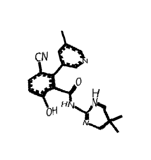 Cc1cncc(-c2c(C#N)ccc(O)c2C(=O)NC2=NCC(C)(C)CN2)c1